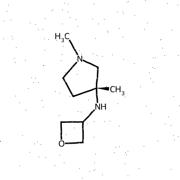 CN1CC[C@@](C)(NC2COC2)C1